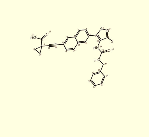 Cc1nsc(-c2ccc3cc(C#CC4(C(=O)O)CC4)ccc3c2)c1NC(=O)OCc1ccccc1